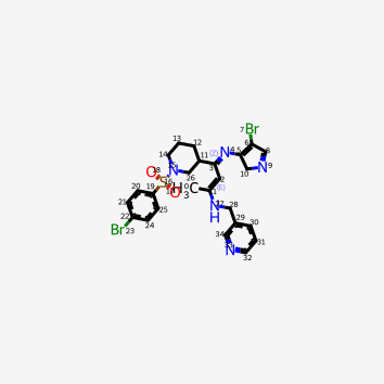 C/C(=C\C(=N/C1=C(Br)C=NC1)C1CCCN(S(=O)(=O)c2ccc(Br)cc2)C1)NCc1cccnc1